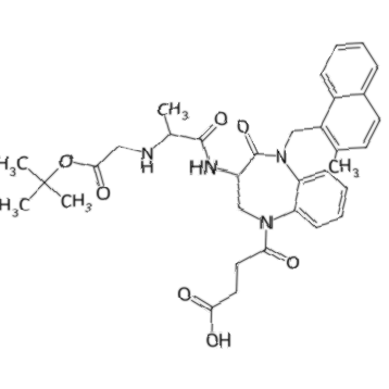 Cc1ccc2ccccc2c1CN1C(=O)C(NC(=O)C(C)NCC(=O)OC(C)(C)C)CN(C(=O)CCC(=O)O)c2ccccc21